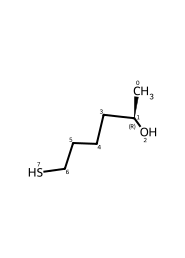 C[C@@H](O)CCCCS